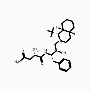 NC(=O)C[C@H](N)C(=O)N[C@@H](Cc1ccccc1)[C@H](O)CN1CC[C@H]2CCCC[C@H]2[C@H]1C(F)(F)F